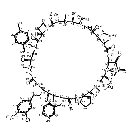 CC[C@H](C)[C@@H]1NC(=O)[C@H](CC(C)C)N(C)C(=O)C[C@@H](C(=O)N(C)C)N(C)C(=O)[C@H]([C@@H](C)CC)N(C)C(=O)C2(CCCC2)NC(=O)[C@H](Cc2cccnc2)N(C)C(=O)[C@H](CCc2ccc(C(F)(F)F)c(Cl)c2)NC(=O)CN(C)C(=O)[C@H](Cc2ccc(C)cc2)N(C)C(=O)[C@@H]2CCN2C(=O)[C@H](C)N(C)C1=O